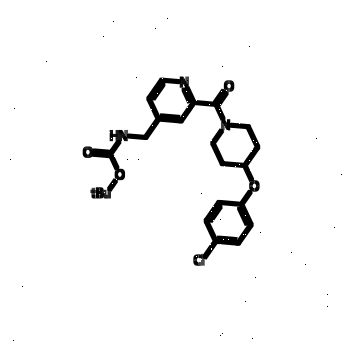 CC(C)(C)OC(=O)NCc1ccnc(C(=O)N2CCC(Oc3ccc(Cl)cc3)CC2)c1